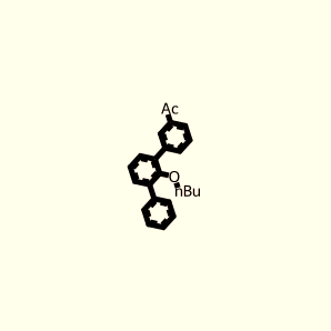 CCCCOc1c(-c2ccccc2)cccc1-c1cccc(C(C)=O)c1